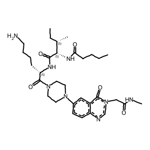 CCCCC(=O)N[C@H](C(=O)N[C@@H](CCCCN)C(=O)N1CCN(c2ccc3ncn(CC(=O)NC)c(=O)c3c2)CC1)[C@@H](C)CC